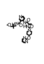 COCC(C)(C)CNC(=O)c1cnccc1NC(=O)c1coc(N2CCC(Oc3ncccn3)CC2)n1